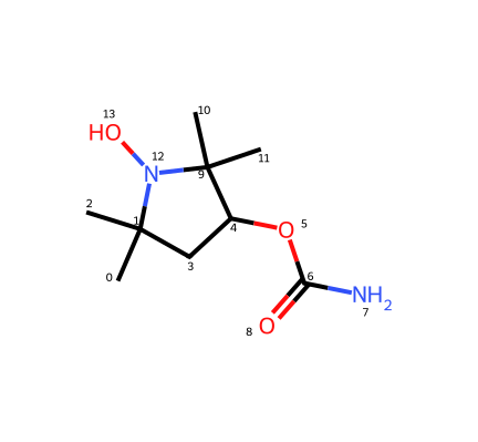 CC1(C)CC(OC(N)=O)C(C)(C)N1O